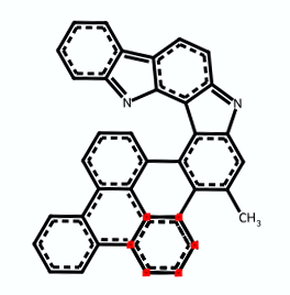 Cc1cc2c(c(-c3cccc4c5ccccc5c5ccccc5c34)c1-c1ccccn1)-c1c3c(ccc1=N2)=c1ccccc1=N3